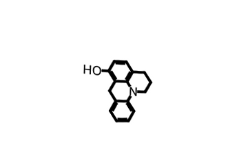 Oc1ccc2c3c1Cc1ccccc1N3CCC2